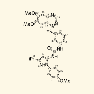 COc1ccc(-n2nc(C(C)C)cc2NC(=O)Nc2cccc(Sc3ncnc4cc(OC)c(OC)cc34)c2)cc1